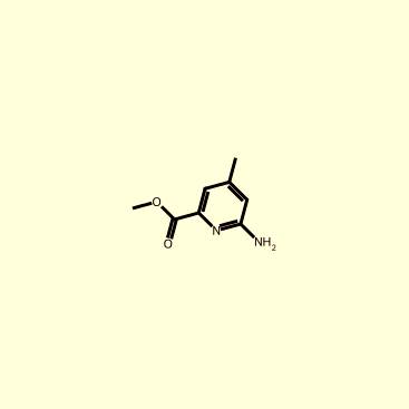 COC(=O)c1cc(C)cc(N)n1